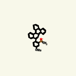 COc1ccc(-c2cc3c4ccccc4c4ccccc4c3c3ccccc23)c([S+](C)[O-])c1